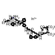 CCC(=O)NCCNC(=O)/N=C(/N)NCCC[C@@H](NC(=O)C(c1ccccc1)c1ccc(NCCCNC(=O)[C@H](N)CCCNC(=O)[C@@H](Cc2ccc(-c3ccccc3)cc2)NC(=O)CN2CCN(CC(=O)O)CCN(CC(=O)O)CCN(CC(=O)O)CC2)cc1)C(=O)NCc1ccc(O)cc1.[In+3]